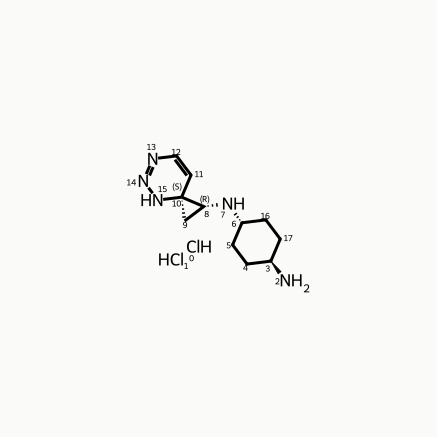 Cl.Cl.N[C@H]1CC[C@H](N[C@@H]2C[C@]23C=CN=NN3)CC1